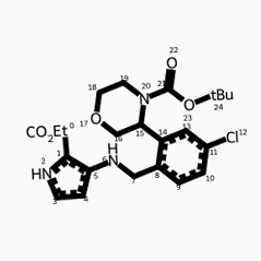 CCOC(=O)c1[nH]ccc1NCc1ccc(Cl)cc1C1COCCN1C(=O)OC(C)(C)C